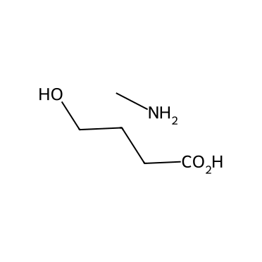 CN.O=C(O)CCCO